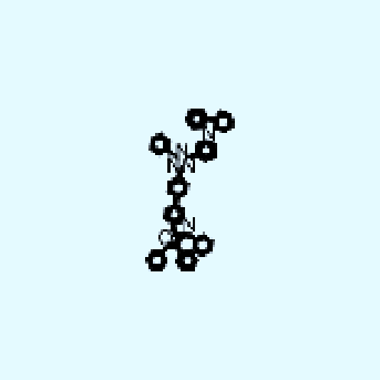 c1ccc(-c2nc(-c3ccc(-c4ccc5c(c4)nc(-c4ccccc4)c4c(-c6ccccc6)c(-c6ccccc6)oc45)cc3)nc(-c3cccc(-n4c5ccccc5c5ccccc54)c3)n2)cc1